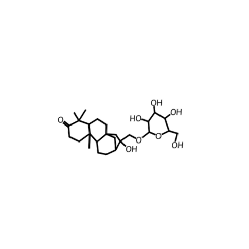 CC1(C)C(=O)CCC2(C)C3CCC4CC3(CCC12)CC4(O)COC1OC(CO)C(O)C(O)C1O